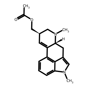 CC(=O)OC[C@@H]1C=C2c3cccc4c3c(cn4C)C[C@H]2N(C)C1